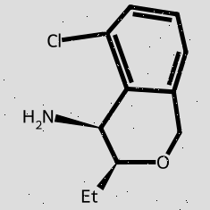 CC[C@@H]1OCc2cccc(Cl)c2[C@@H]1N